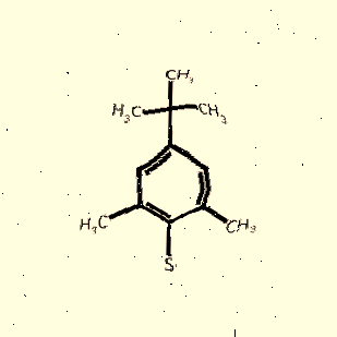 Cc1cc(C(C)(C)C)cc(C)c1[S]